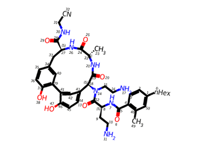 CCCCCCc1ccc(C(=O)N[C@@H](CCN)C(=O)N(CCN)[C@@H]2C(=O)N[C@@H](C)C(=O)N[C@H](C(=O)NCC#N)Cc3ccc(O)c(c3)-c3cc2ccc3O)c(C)c1